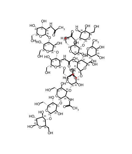 CC(=O)N[C@H]1[C@@H](O[C@H]2[C@@H](O)[C@@H](CO)O[C@@H](O[C@H]3[C@H](O)[C@@H](CO)O[C@@H](OC[C@H]4O[C@@H](O[C@H]5[C@H](O)[C@@H](CO)O[C@@H](O[C@H]6[C@@H](O)[C@@H](CO)O[C@@H](O[C@H]7[C@H](O)[C@@H](O)[C@H](O)O[C@@H]7CO)[C@@H]6O)[C@@H]5NC(C)=O)[C@H](O)[C@@H](O[C@@H]5O[C@H](CO)[C@@H](O)[C@H](O[C@@H]6O[C@H](CO)[C@H](O)[C@H](O[C@H]7O[C@H](CO)[C@H](O)[C@H](O)[C@H]7NC(C)=O)[C@H]6O[C@@H]6O[C@@H](C)[C@@H](O)[C@@H](O)[C@@H]6O)[C@H]5NC(C)=O)[C@H]4O)[C@@H]3NC(C)=O)[C@@H]2O)O[C@H](CO)[C@H](O)[C@@H]1O